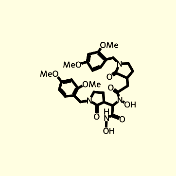 COc1ccc(CN2CCC(CC(=O)N(O)C(C(=O)NO)C3CCN(Cc4ccc(OC)cc4OC)C3=O)C2=O)c(OC)c1